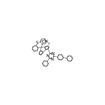 CC12CC=CC=C1Sc1ccccc1C21c2ccccc2-c2c(-c3nc(-c4ccccc4)nc(-c4ccc(-c5ccccc5)cc4)n3)cccc21